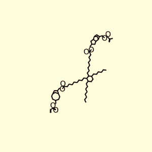 C=CC(=O)OCC1CCC2CC(CC1)C(COC(=O)CCCCCCCCC1C(CCCCCCCC)CCC(CCCCCC)C1CCCCCCCCC(=O)OCC1CC3C4CC(COC(=O)C(=C)C)C(C4)C3C1)C2